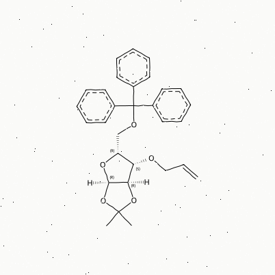 C=CCO[C@@H]1[C@H]2OC(C)(C)O[C@H]2O[C@@H]1COC(c1ccccc1)(c1ccccc1)c1ccccc1